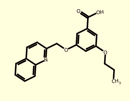 CCCOc1cc(OCc2ccc3ccccc3n2)cc(C(=O)O)c1